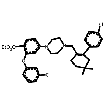 CCOC(=O)c1ccc(N2CCN(CC3=C(c4ccc(Cl)cc4)CC(C)(C)CC3)CC2)cc1Oc1cccc(Cl)c1